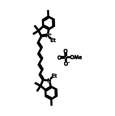 CCN1C(=CC=CC=CC=CC2=[N+](CC)c3ccc(C)cc3C2(C)C)C(C)(C)c2cc(C)ccc21.COS(=O)(=O)[O-]